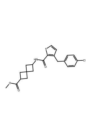 COC(=O)C1CC2(CC(NC(=O)c3sccc3Cc3ccc(Cl)cc3)C2)C1